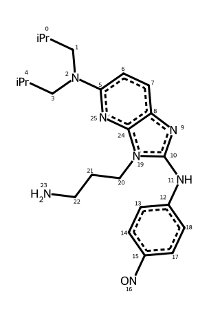 CC(C)CN(CC(C)C)c1ccc2nc(Nc3ccc(N=O)cc3)n(CCCN)c2n1